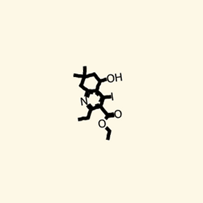 CCOC(=O)c1c(CC)nc2c(c1I)C(O)CC(C)(C)C2